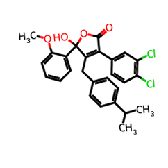 COc1ccccc1C1(O)OC(=O)C(c2ccc(Cl)c(Cl)c2)=C1Cc1ccc(C(C)C)cc1